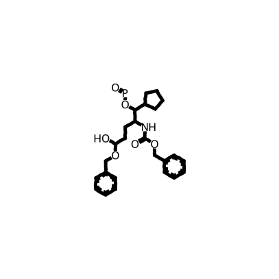 O=POC(C1CCCC1)C(CCC(O)OCc1ccccc1)NC(=O)OCc1ccccc1